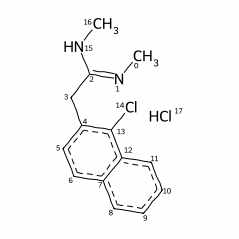 CN=C(Cc1ccc2ccccc2c1Cl)NC.Cl